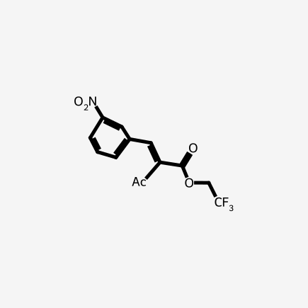 CC(=O)/C(=C\c1cccc([N+](=O)[O-])c1)C(=O)OCC(F)(F)F